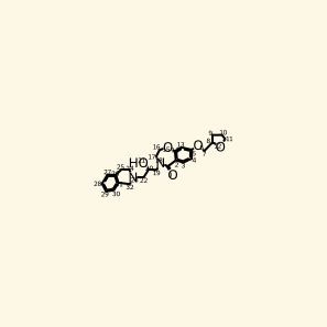 O=C1c2ccc(OCC3CCCO3)cc2OCCN1CC(O)CN1CCc2ccccc2C1